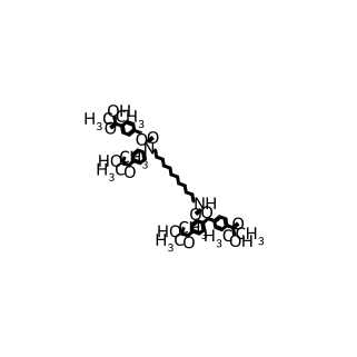 CC(C)(O)C(=O)c1ccc(COC(=O)N(CCCCCCCCCCCCNC(=O)OC(c2ccc(C(=O)C(C)(C)O)cc2)c2ccc(C(=O)C(C)(C)O)cc2)c2ccc(C(=O)C(C)(C)O)cc2)cc1